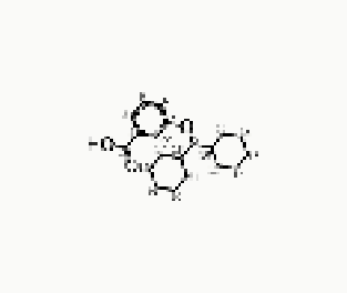 O=C(O)c1cccc(OC(C2CCCCC2)C2CCCCC2)c1